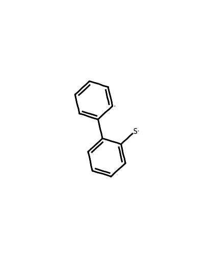 [S]c1ccccc1-c1[c]cccc1